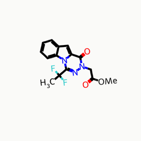 COC(=O)Cn1nc(C(C)(F)F)n2c(cc3ccccc32)c1=O